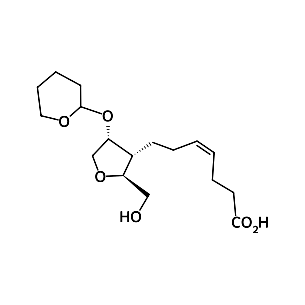 O=C(O)CC/C=C\CC[C@H]1[C@@H](OC2CCCCO2)CO[C@@H]1CO